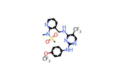 CN(c1ncccc1CNc1nc(Nc2ccc(OC(F)(F)F)cc2)ncc1C(F)(F)F)S(C)(=O)=O